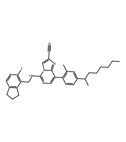 CCCCCCC(C)c1ccc(-c2cnc(NCc3c(F)ccc4c3CCC4)n3cc(C#N)nc23)c(C)c1